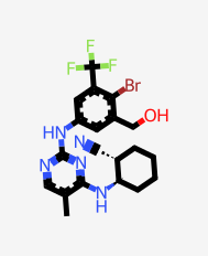 Cc1cnc(Nc2cc(CO)c(Br)c(C(F)(F)F)c2)nc1N[C@@H]1CCCC[C@H]1C#N